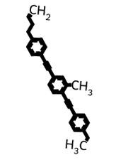 C=CCCc1ccc(C#Cc2ccc(C#Cc3ccc(CC)cc3)c(C)c2)cc1